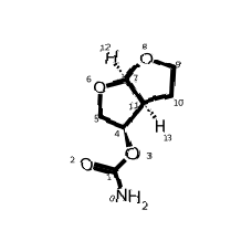 NC(=O)O[C@H]1CO[C@H]2OCC[C@H]21